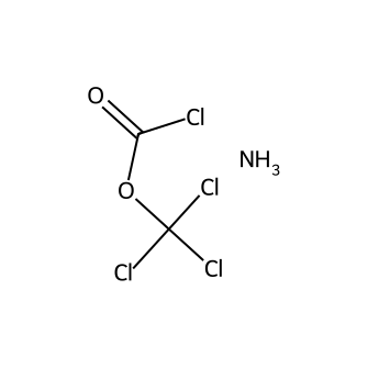 N.O=C(Cl)OC(Cl)(Cl)Cl